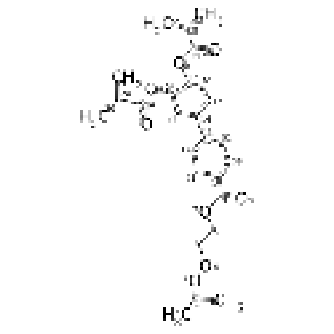 C=C(C)OOCCOC(=O)c1ccc(-c2ccc(OC(=O)C(=C)C)c(OC(=O)C(=C)C)c2)cc1